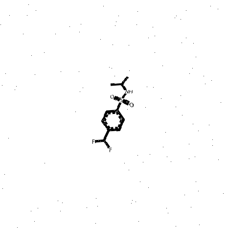 CC(C)NS(=O)(=O)c1ccc(C(F)F)cc1